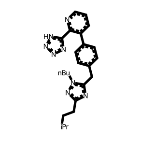 CCCCn1nc(CCC(C)C)nc1Cc1ccc(-c2cccnc2-c2nnn[nH]2)cc1